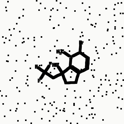 CN1C2=C(C=CC1Br)CCC2(O)CC(F)(F)F